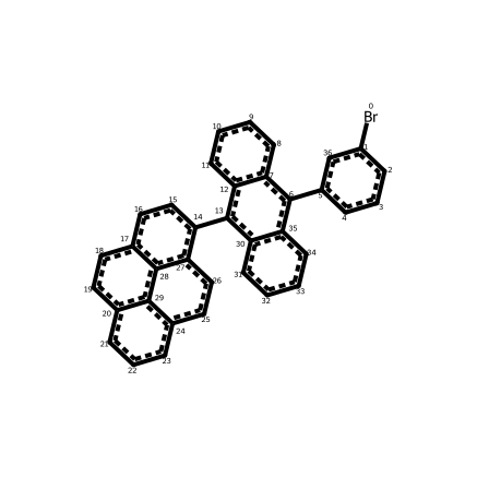 Brc1cccc(-c2c3ccccc3c(-c3ccc4ccc5cccc6ccc3c4c56)c3ccccc23)c1